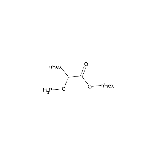 CCCCCCOC(=O)C(CCCCCC)OP